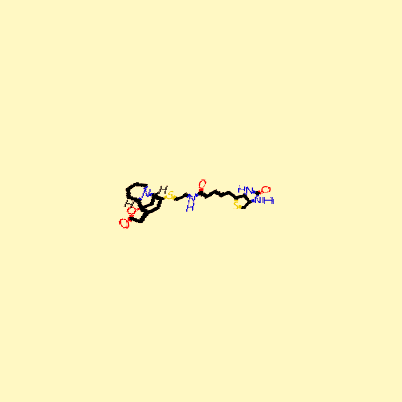 O=C(CCCCC1SCC2NC(=O)NC21)NCCSC1CC2=CC(=O)O[C@@]23C[C@@H]1N1CCCC[C@@H]13